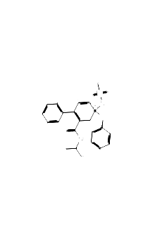 CC(C)NC(=O)C1=C(c2ccccc2)C=CC(NS(C)(=O)=O)(Oc2ccccc2)C1